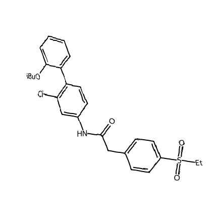 CCS(=O)(=O)c1ccc(CC(=O)Nc2ccc(-c3ccccc3OCC(C)C)c(Cl)c2)cc1